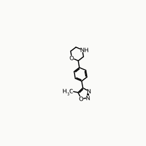 Cc1onnc1-c1ccc(C2CNCCO2)cc1